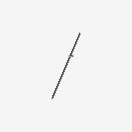 CCCCCCCCC=CCCCCCCCCCC(=O)OCCCCCCCCCCCCCCCCCCCCCCCCCCCCCCCCCCCC